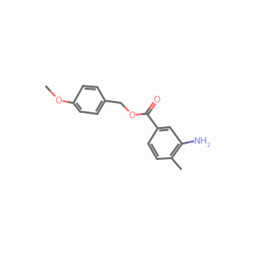 COc1ccc(COC(=O)c2ccc(C)c(N)c2)cc1